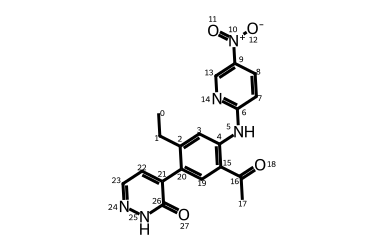 CCc1cc(Nc2ccc([N+](=O)[O-])cn2)c(C(C)=O)cc1-c1ccn[nH]c1=O